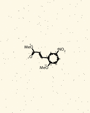 COC(=O)C=Cc1cc([N+](=O)[O-])ccc1OC